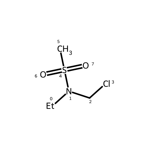 CCN(CCl)S(C)(=O)=O